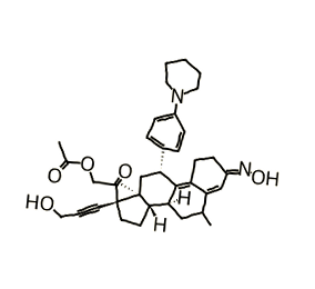 CC(=O)OCC(=O)[C@@]1(C#CCO)CC[C@H]2[C@@H]3CC(C)C4=CC(=NO)CCC4=C3[C@@H](c3ccc(N4CCCCC4)cc3)C[C@@]21C